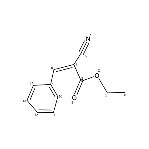 CCOC(=O)C(C#N)=Cc1ccccc1